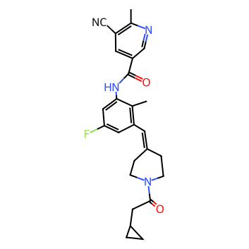 Cc1ncc(C(=O)Nc2cc(F)cc(C=C3CCN(C(=O)CC4CC4)CC3)c2C)cc1C#N